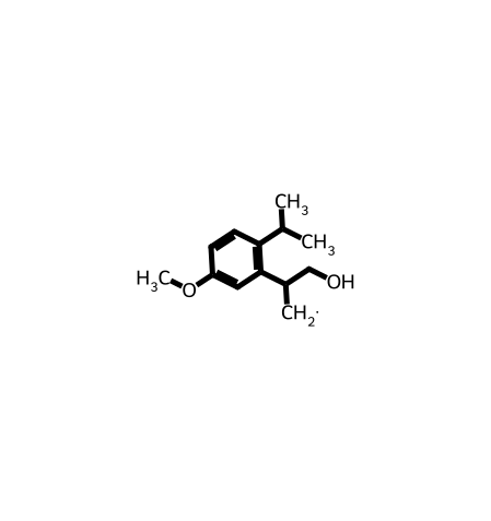 [CH2]C(CO)c1cc(OC)ccc1C(C)C